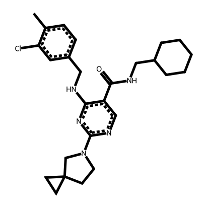 Cc1ccc(CNc2nc(N3CCC4(CC4)C3)ncc2C(=O)NCC2CCCCC2)cc1Cl